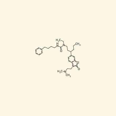 CCCC(CCN(CC)C(=O)NCCCCc1ccccc1)c1ccc2c(c1)oc(=O)n2CCN(C)C